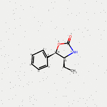 CC[C@@H]1NC(=O)O[C@@H]1c1ccccc1